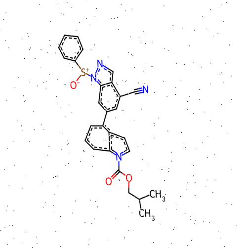 CC(C)COC(=O)n1ccc2c(-c3cc(C#N)c4cnn([S+]([O-])c5ccccc5)c4c3)cccc21